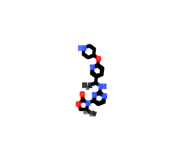 CC(Nc1nccc(N2C(=O)OC[C@@H]2C(C)C)n1)c1ccc(OC2CCNCC2)nc1